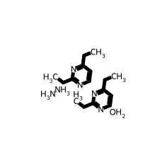 CCc1ccnc(CC)n1.CCc1ccnc(CC)n1.N.N.O